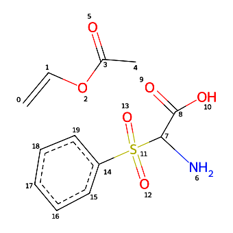 C=COC(C)=O.NC(C(=O)O)S(=O)(=O)c1ccccc1